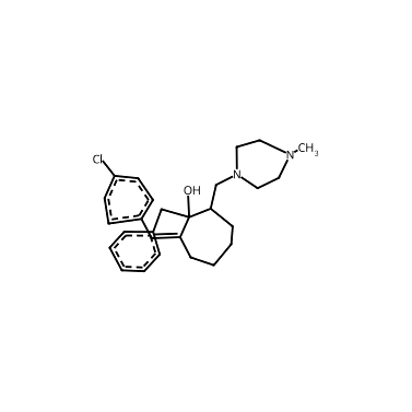 CN1CCN(CC2CCCCC(=Cc3ccc(Cl)cc3)C2(O)Cc2ccccc2)CC1